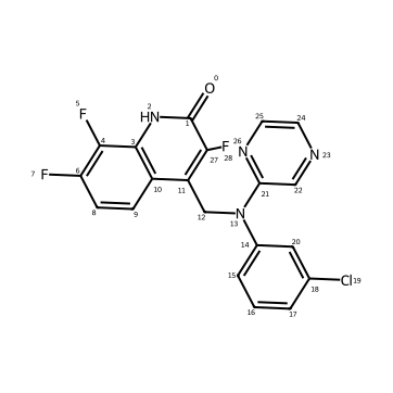 O=c1[nH]c2c(F)c(F)ccc2c(CN(c2cccc(Cl)c2)c2cnccn2)c1F